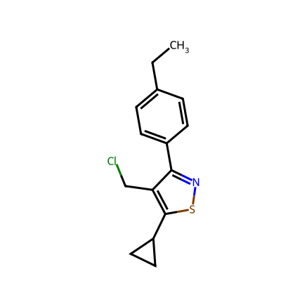 CCc1ccc(-c2nsc(C3CC3)c2CCl)cc1